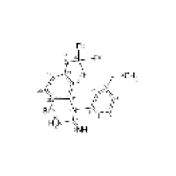 CCc1cccc(N(C(=N)N)c2cc(SC(F)(F)F)ccc2Br)c1